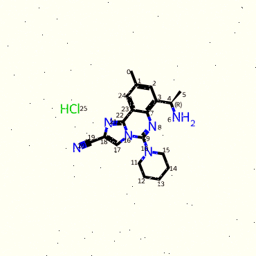 Cc1cc([C@@H](C)N)c2nc(N3CCCCC3)n3cc(C#N)nc3c2c1.Cl